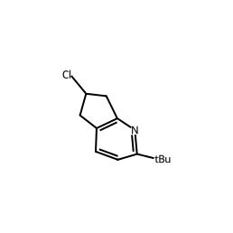 CC(C)(C)c1ccc2c(n1)CC(Cl)C2